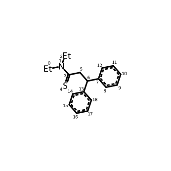 CCN(CC)C(=S)CC(c1ccccc1)c1ccccc1